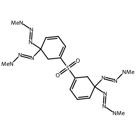 CN/N=N/C1(/N=N/NC)C=CC=C(S(=O)(=O)C2=CC=CC(/N=N/NC)(/N=N/NC)C2)C1